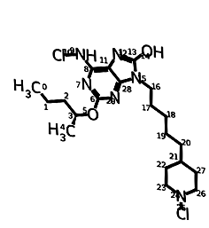 CCC[C@H](C)Oc1nc(NCl)c2nc(O)n(CCCCCC3CCN(Cl)CC3)c2n1